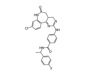 CC(NC(=O)c1ccc(NC2=NCC3CC(=O)Nc4cc(Cl)ccc4C3=N2)cc1)c1ccc(F)cc1